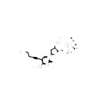 NOC1C[C@H](n2cc(C#CCCO)c(N)nc2=O)O[C@@H]1COP(=O)(O)OP(=O)(O)OP(=O)(O)O